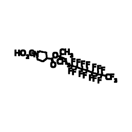 CC(C)(CCC(F)(F)C(F)(F)C(F)(F)C(F)(F)C(F)(F)C(F)(F)C(F)(F)C(F)(F)F)OC(=O)C1CCN(C(=O)O)CC1